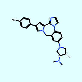 C[C@H]1CN(c2ccc3c(c2)Cn2cc(-c4ccc(C#N)cc4)cc2-c2nccn2-3)C[C@@H]1N(C)C